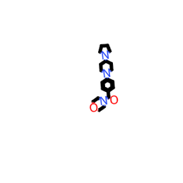 O=C(c1ccc(N2CCC(N3CCCC3)CC2)cc1)N1CCOCC1